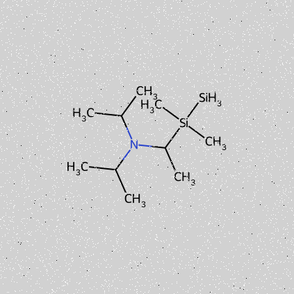 CC(C)N(C(C)C)C(C)[Si](C)(C)[SiH3]